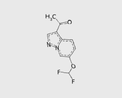 CC(=O)c1cnn2cc(OC(F)F)ccc12